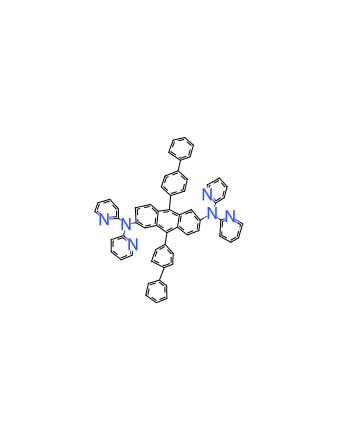 c1ccc(-c2ccc(-c3c4ccc(N(c5ccccn5)c5ccccn5)cc4c(-c4ccc(-c5ccccc5)cc4)c4ccc(N(c5ccccn5)c5ccccn5)cc34)cc2)cc1